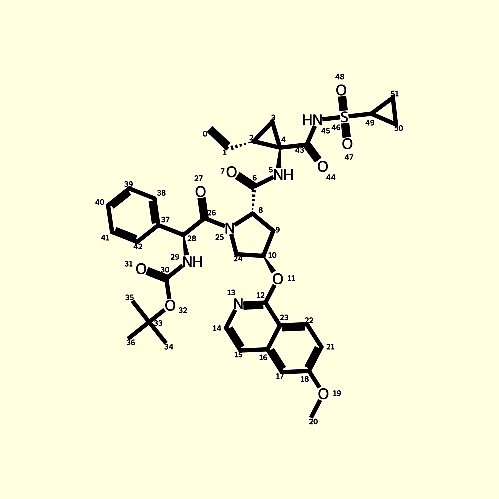 C=C[C@@H]1C[C@]1(NC(=O)[C@@H]1C[C@@H](Oc2nccc3cc(OC)ccc23)CN1C(=O)[C@@H](NC(=O)OC(C)(C)C)c1ccccc1)C(=O)NS(=O)(=O)C1CC1